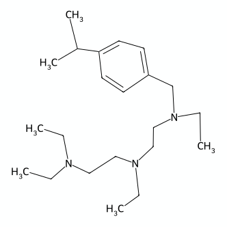 CCN(CC)CCN(CC)CCN(CC)Cc1ccc(C(C)C)cc1